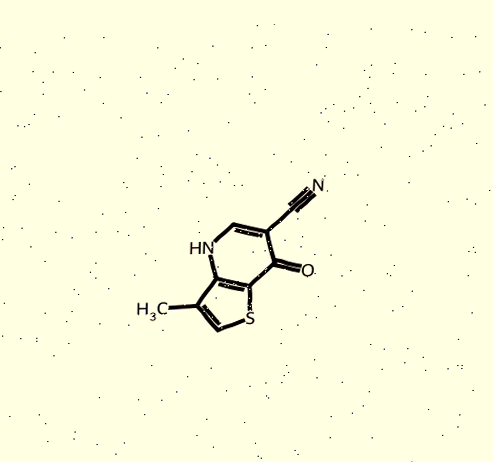 Cc1csc2c(=O)c(C#N)c[nH]c12